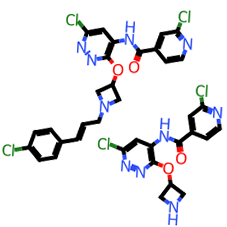 O=C(Nc1cc(Cl)nnc1OC1CN(C/C=C/c2ccc(Cl)cc2)C1)c1ccnc(Cl)c1.O=C(Nc1cc(Cl)nnc1OC1CNC1)c1ccnc(Cl)c1